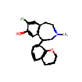 CN1CCc2cc(Cl)c(O)cc2C(c2cccc3c2OCCC3)C1